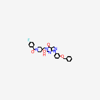 O=C(c1ccc(F)cc1)N1CCC(O)(Cn2cnc3c(cnn3-c3cccc(OCc4ccccc4)c3)c2=O)CC1